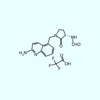 Nc1ccc2c(CN3CC[C@H](NC=O)C3=O)cccc2n1.O=C(O)C(F)(F)F